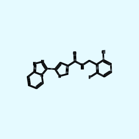 O=C(NCc1c(F)cccc1Cl)c1csc(-c2nnc3ccccn23)c1